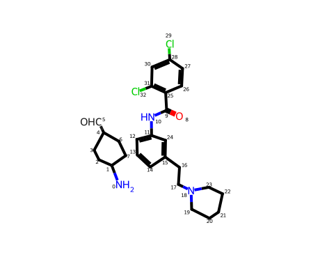 NC1CCC(C=O)CC1.O=C(Nc1cccc(CCN2CCCCC2)c1)c1ccc(Cl)cc1Cl